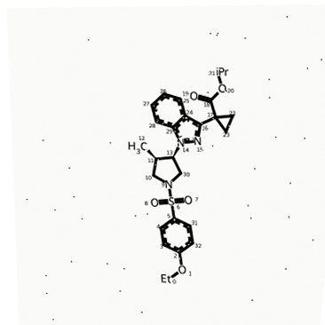 CCOc1ccc(S(=O)(=O)N2C[C@@H](C)[C@@H](n3nc(C4(C(=O)OC(C)C)CC4)c4ccccc43)C2)cc1